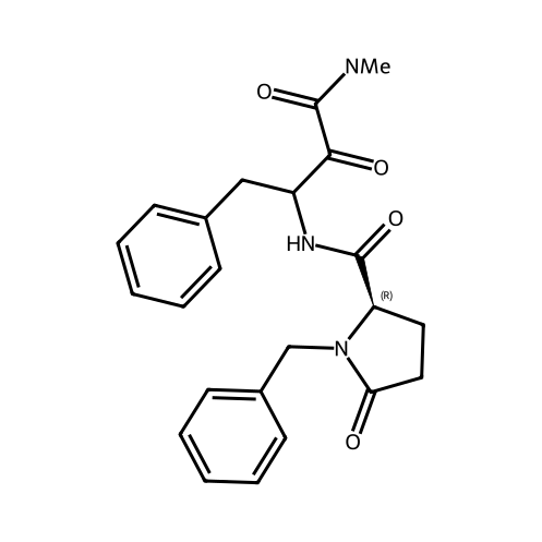 CNC(=O)C(=O)C(Cc1ccccc1)NC(=O)[C@H]1CCC(=O)N1Cc1ccccc1